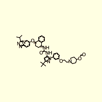 CC(C)c1nnc2ccc(O[C@@H]3CC[C@H](NC(=O)Nc4cc(C(C)(C)C)nn4-c4cccc(OCCN5CCC(OC=O)CC5)c4)c4ccccc43)cn12